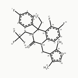 CCC1(c2ccc(F)cc2)c2c(ccc(F)c2F)N(Cc2c(C)noc2C)C(=O)N1CC(F)(F)F